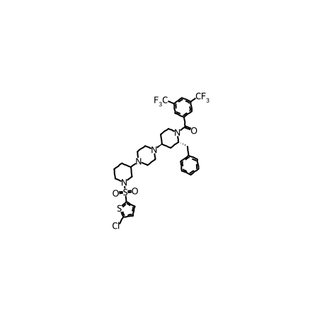 O=C(c1cc(C(F)(F)F)cc(C(F)(F)F)c1)N1CC[C@H](N2CCN(C3CCCN(S(=O)(=O)c4ccc(Cl)s4)C3)CC2)C[C@H]1Cc1ccccc1